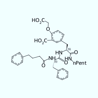 CCCCCNC(=O)[C@H](Cc1ccc(OCC(=O)O)c(C(=O)O)c1)NC(=O)[C@H](Cc1ccccc1)NC(=O)CCCc1ccccc1